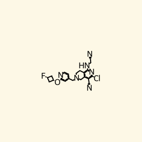 N#CCNc1nc(Cl)c(C#N)c2c1CCN(Cc1ccnc(O[C@H]3C[C@H](F)C3)c1)C2